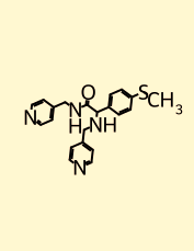 CSc1ccc(C(NCc2ccncc2)C(=O)NCc2ccncc2)cc1